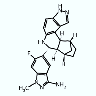 Cn1nc(N)c2cc([C@@H]3Nc4ccc5[nH]ncc5c4[C@H]4[C@@H]5CC[C@@H](C5)[C@H]43)c(F)cc21